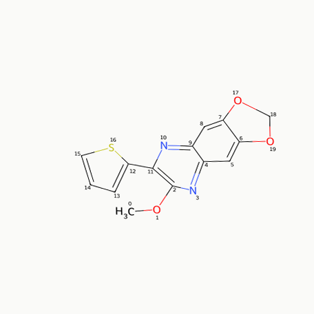 COc1nc2cc3c(cc2nc1-c1cccs1)OCO3